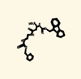 O=C(CC(NC(=O)OCC1c2ccccc2-c2ccccc21)S(=O)(=O)O)NCCNC(=O)OCc1ccccc1